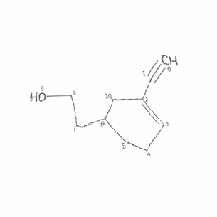 C#CC1=CCCC(CCO)C1